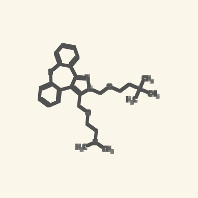 CN(C)CCOCc1c2c(nn1COCC[Si](C)(C)C)-c1ccccc1Sc1ccccc1-2